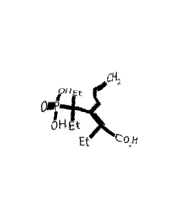 C=CCC(=C(CC)C(=O)O)C(CC)(CC)P(=O)(O)O